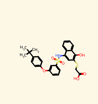 CC(C)(C)c1ccc(Oc2cccc(S(=O)(=O)Nc3cc(SCC(=O)O)c(O)c4ccccc34)c2)cc1